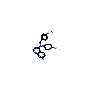 NC1CCC(N(Cc2ccc(C(F)(F)F)cc2)c2ccnc3cc(Cl)ccc23)CC1